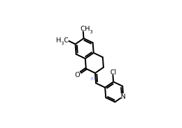 Cc1cc2c(cc1C)C(=O)/C(=C/c1ccncc1Cl)CC2